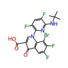 CC(C)(C)Nc1nc(-n2cc(C(=O)O)c(=O)c3cc(F)c(F)c(Br)c32)c(F)cc1F